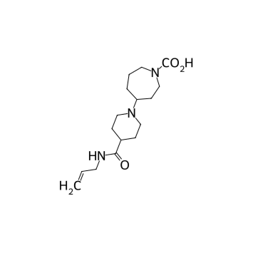 C=CCNC(=O)C1CCN(C2CCCN(C(=O)O)CC2)CC1